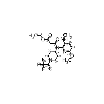 CCOC(=O)CC(=O)N(c1nc(OC)ccc1NC)C1CCN(C(=O)C(F)(F)F)CC1